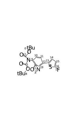 CC(C)(C)OC(=O)N(C(=O)OC(C)(C)C)c1ccc(-c2ccc(F)s2)cc1[N+](=O)[O-]